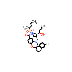 C=CCC(O)[C@@H]1CC[C@H]1CN1C[C@@]2(CCCc3cc(Cl)ccc32)COc2ccc(C(=O)NS(=O)(=O)C(CC=C)C(F)(F)F)cc21